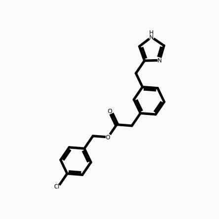 O=C(Cc1cccc(Cc2c[nH]cn2)c1)OCc1ccc(Cl)cc1